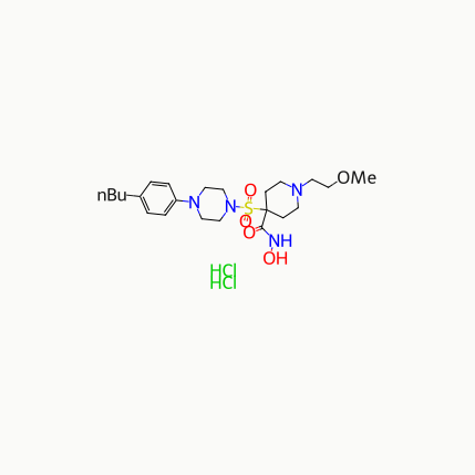 CCCCc1ccc(N2CCN(S(=O)(=O)C3(C(=O)NO)CCN(CCOC)CC3)CC2)cc1.Cl.Cl